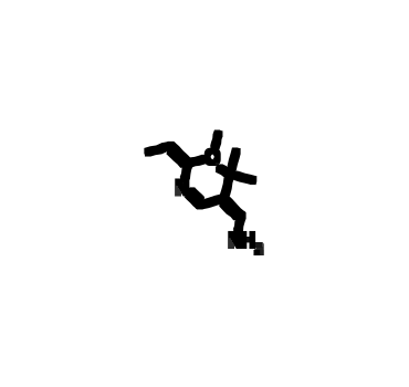 C\C=C(/N=C\C(=C/N)C(C)(C)C)OC